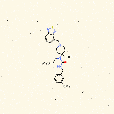 COCCN(C(=O)NCc1cccc(OC)c1)C1(C=O)CCN(Cc2cccc3nsnc23)CC1